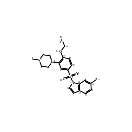 CN1CCN(c2cc(S(=O)(=O)n3ccc4ccc(F)cc43)ccc2OCC(F)(F)F)CC1